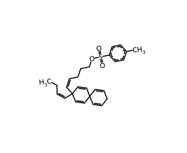 CC/C=C\C1(/C=C\CCCOS(=O)(=O)c2ccc(C)cc2)C=CC2(C=CCC=C2)C=C1